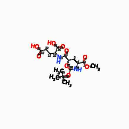 COC(=O)[C@H](CCC(=O)N[C@@H](CCC(=O)O)C(=O)O)NC(=O)OC(C)(C)C